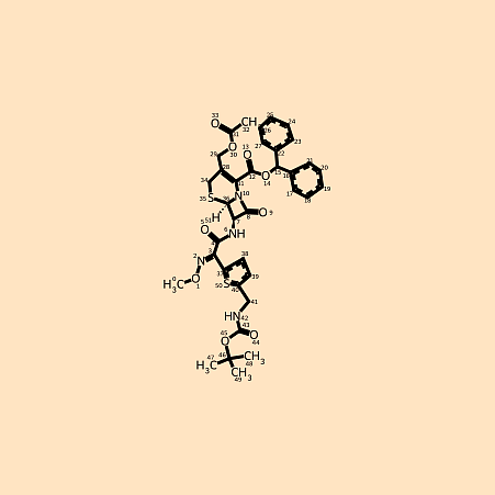 CO/N=C(/C(=O)N[C@@H]1C(=O)N2C(C(=O)OC(c3ccccc3)c3ccccc3)=C(COC(C)=O)CS[C@H]12)c1ccc(CNC(=O)OC(C)(C)C)s1